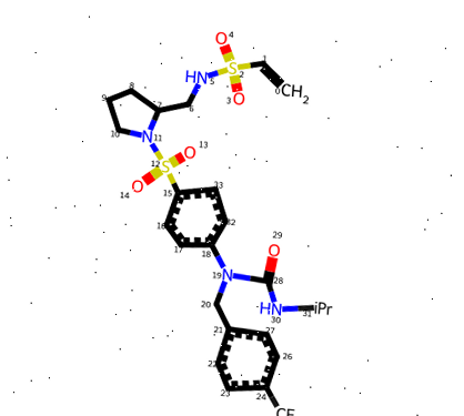 C=CS(=O)(=O)NCC1CCCN1S(=O)(=O)c1ccc(N(Cc2ccc(C(F)(F)F)cc2)C(=O)NC(C)C)cc1